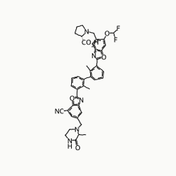 Cc1c(-c2nc3cc(CN4CCC[C@H]4C(=O)O)c(OC(F)F)cc3o2)cccc1-c1cccc(-c2nc3cc(CN4CCNC(=O)C4C)cc(C#N)c3o2)c1C